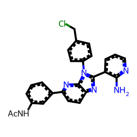 CC(=O)Nc1cccc(-c2ccc3nc(-c4cccnc4N)n(-c4ccc(CCl)cc4)c3n2)c1